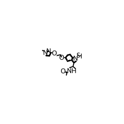 CC(=O)NCC(C)c1cn(SI)c2ccc(OCCOc3ccn(C)n3)cc12